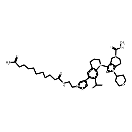 CNC(=O)N1CCc2c(c(N3CCCc4cc(-c5cnn(CCNC(=O)CCCCCCCCCC(N)=O)c5)c(C(F)F)cc43)nn2C2CCOCC2)C1